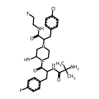 CCCC1CN(C(Cc2ccc(Cl)cc2)C(=O)NCCF)CCN1C(=O)C(Cc1ccc(F)cc1)NC(=O)C(C)(C)N